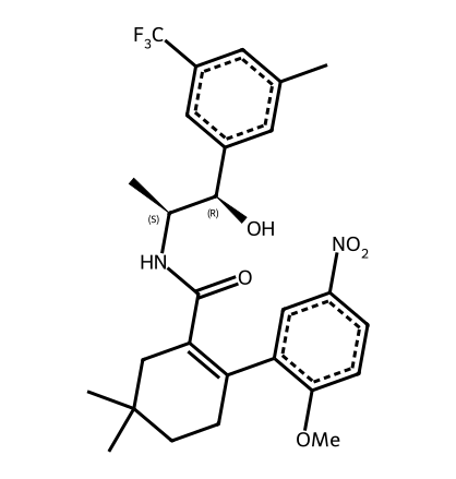 COc1ccc([N+](=O)[O-])cc1C1=C(C(=O)N[C@@H](C)[C@H](O)c2cc(C)cc(C(F)(F)F)c2)CC(C)(C)CC1